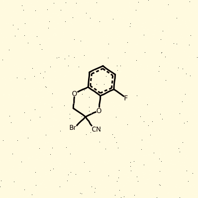 N#CC1(Br)COc2cccc(F)c2O1